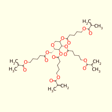 C=C(C)C(=O)OCCCCC(=O)OC[C@@H]1OC[C@@H](OC(=O)CCCCOC(=O)C(=C)C)C(OC(=O)CCCCOC(=O)C(=C)C)[C@H]1OC(=O)CCCCOC(=O)C(=C)C